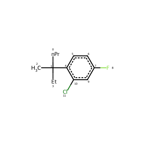 CCCC(C)(CC)c1ccc(F)cc1Cl